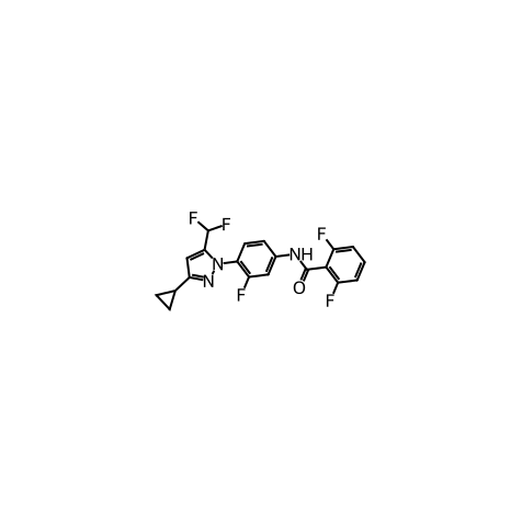 O=C(Nc1ccc(-n2nc(C3CC3)cc2C(F)F)c(F)c1)c1c(F)cccc1F